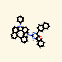 c1ccc(-n2c3ccc4cccc5c4c3c3c4c6c-5cccc6n(-c5nc(-c6ccc7ccccc7c6)c6oc7ccccc7c6n5)c4ccc32)cc1